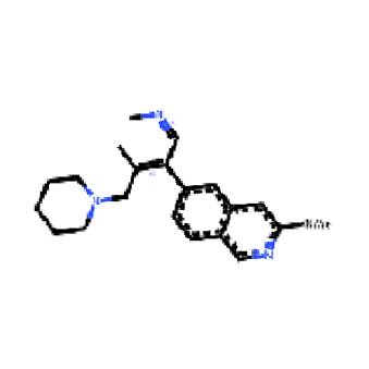 C/N=C\C(=C(/C)CN1CCCCC1)c1ccc2cnc(NC)cc2c1